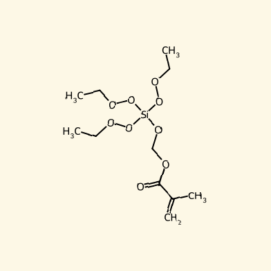 C=C(C)C(=O)OCO[Si](OOCC)(OOCC)OOCC